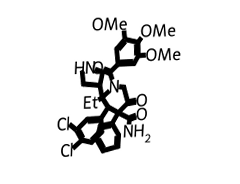 CCC1(C2CCNC2)C(c2ccc(Cl)c(Cl)c2)C(C(N)=O)(c2ccccc2)C(=O)CN1C(=O)c1cc(OC)c(OC)c(OC)c1